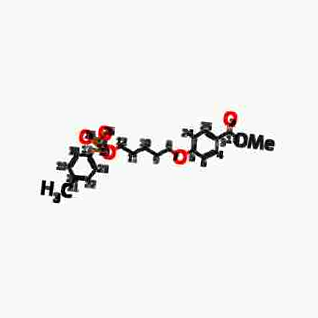 COC(=O)c1ccc(OCCCCCOS(=O)(=O)c2ccc(C)cc2)cc1